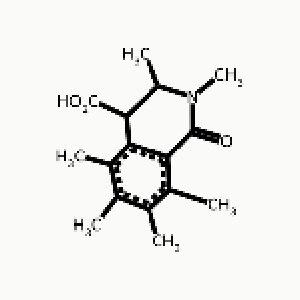 Cc1c(C)c(C)c2c(c1C)C(=O)N(C)C(C)C2C(=O)O